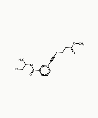 COC(=O)CCCC#Cc1cccc(C(=O)NC(C)CO)c1